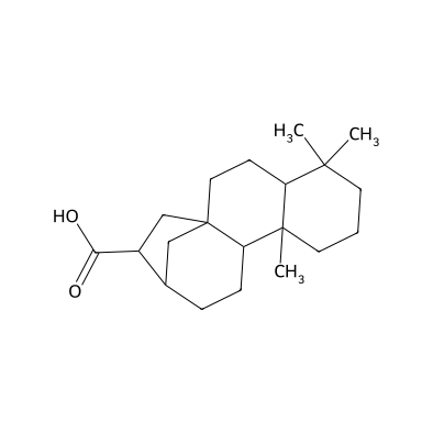 CC1(C)CCCC2(C)C1CCC13CC(CCC12)C(C(=O)O)C3